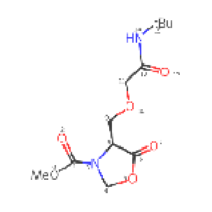 COC(=O)N1COC(=O)[C@@H]1COCC(=O)NC(C)(C)C